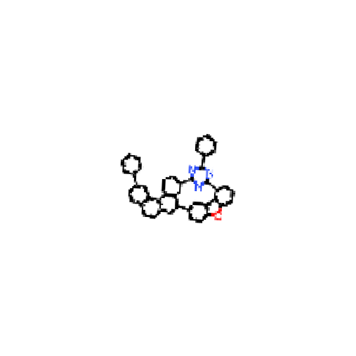 C1=CCCC(c2nc(-c3ccccc3)nc(-c3cccc4oc5ccc(-c6ccc7c(ccc8ccc(-c9ccccc9)cc87)c6)cc5c34)n2)=C1